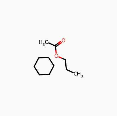 C1CCCCC1.CCCOC(C)=O